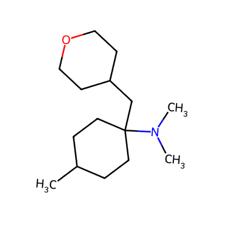 CC1CCC(CC2CCOCC2)(N(C)C)CC1